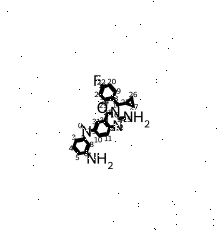 CN(c1cccc(N)c1)c1ccc2nc(N)n(C(c3ccc(F)cc3)C3CC3)c(=O)c2c1